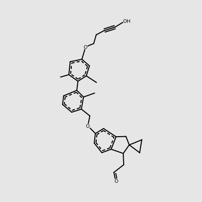 Cc1cc(OCCC#CO)cc(C)c1-c1cccc(COc2ccc3c(c2)CC2(CC2)C3CC=O)c1C